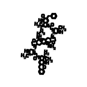 C[C@@H]1CN(CC(=O)N2CC(C)(C)c3[nH]c(=O)c(Cc4ccccc4)cc32)[C@@H](CN2CCOC(C(N)=O)C2Cc2ccc(CC3C(C(N)=O)OCCN3C[C@H]3CN[C@H](C)CN3CC(=O)N3CC(C)(C)c4[nH]c(=O)c(Cc5ccccc5)cc43)cc2)CN1